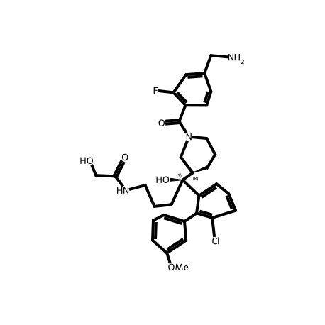 COc1cccc(-c2c(Cl)cccc2[C@](O)(CCCNC(=O)CO)[C@@H]2CCCN(C(=O)c3ccc(CN)cc3F)C2)c1